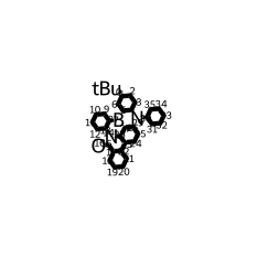 CC(C)(C)c1ccc2c(c1)B1c3ccccc3-n3c(=O)c4ccccc4c4ccc(c1c43)N2c1ccccc1